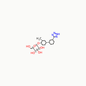 Cc1cc(-c2cccc(-c3nn[nH]n3)c2)ccc1O[C@H]1O[C@H](CO)[C@@H](O)[C@H](O)[C@@H]1O